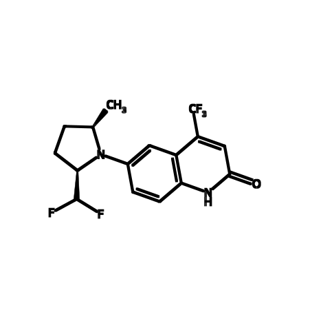 C[C@@H]1CC[C@H](C(F)F)N1c1ccc2[nH]c(=O)cc(C(F)(F)F)c2c1